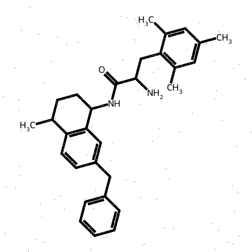 Cc1cc(C)c(CC(N)C(=O)NC2CCC(C)c3ccc(Cc4ccccc4)cc32)c(C)c1